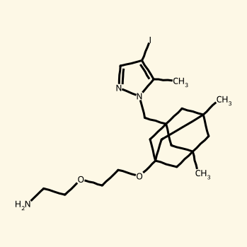 Cc1c(I)cnn1CC12CC3(C)CC(C)(C1)CC(OCCOCCN)(C3)C2